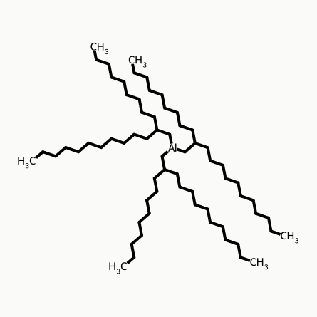 CCCCCCCCCCCC(CCCCCCCCC)[CH2][Al]([CH2]C(CCCCCCCCC)CCCCCCCCCCC)[CH2]C(CCCCCCCCC)CCCCCCCCCCC